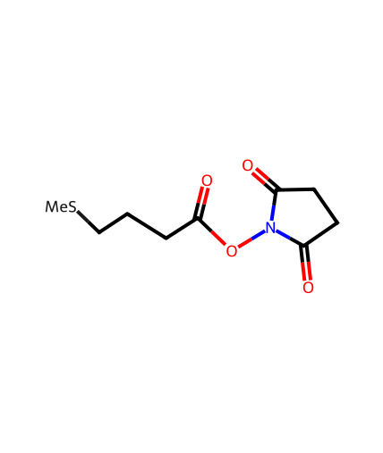 CSCCCC(=O)ON1C(=O)CCC1=O